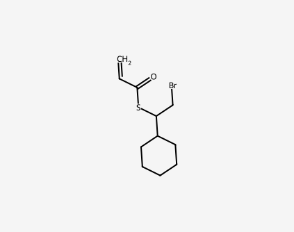 C=CC(=O)SC(CBr)C1CCCCC1